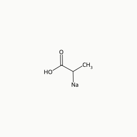 C[CH]([Na])C(=O)O